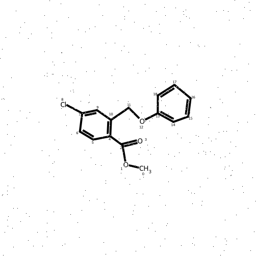 COC(=O)c1ccc(Cl)cc1COc1ccccc1